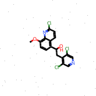 COc1ccc(C(O)Cc2c(Cl)cncc2Cl)c2ccc(Cl)nc12